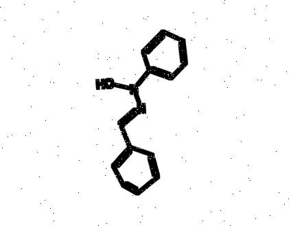 ON(N=Cc1ccccc1)c1ccccc1